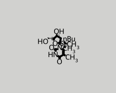 CCCC[Si](C)(C)[C@]1(n2cc(C)c(=O)[nH]c2=O)C[C@H](O)[C@@H](CO)O1